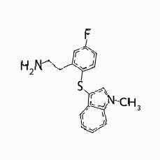 Cn1cc(Sc2ccc(F)cc2CCN)c2ccccc21